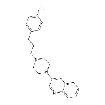 FC(F)(F)c1ccc(CCCN2CCN(c3cnc4ccccc4c3)CC2)cc1